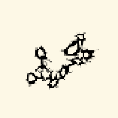 c1ccc(C2N=C(c3cccc4c3sc3cc(-c5ccc6c(c5)sc5cccc(-n7c8ccccc8c8ccccc87)c56)ccc34)NC(c3ccccc3)N2)cc1